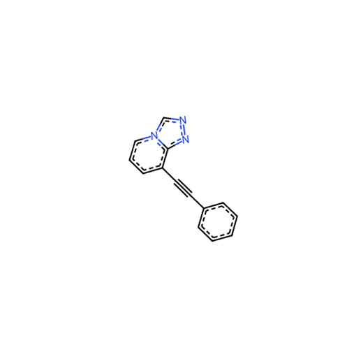 C(#Cc1cccn2cnnc12)c1ccccc1